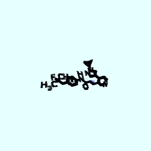 CC(C)(F)Cc1ccc(NC(=O)/C=C/c2cnccc2-c2cnn(C3CC3)c2)cc1